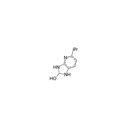 CC(C)c1ccc2c(n1)NC(O)N2